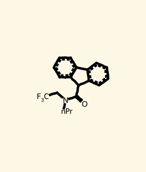 CCCN(CC(F)(F)F)C(=O)C1c2ccccc2-c2ccccc21